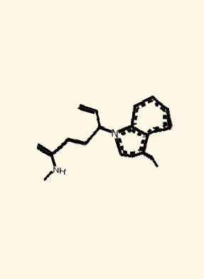 C=CC(CCC(=C)NC)n1cc(C)c2ccccc21